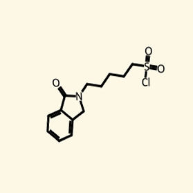 O=C1c2ccccc2CN1CCCCCS(=O)(=O)Cl